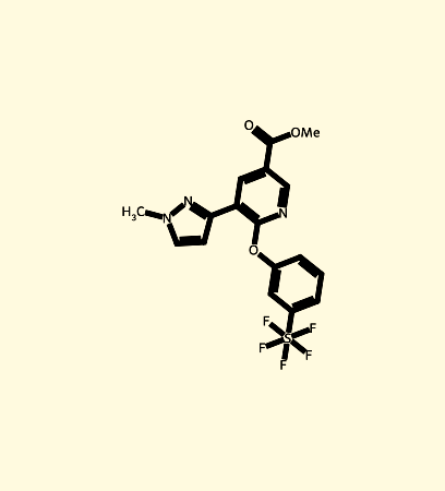 COC(=O)c1cnc(Oc2cccc(S(F)(F)(F)(F)F)c2)c(-c2ccn(C)n2)c1